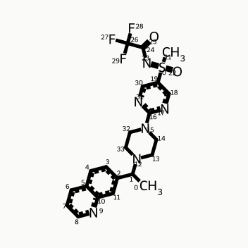 CC(c1ccc2cccnc2c1)N1CCN(c2ncc(S(C)(=O)=NC(=O)C(F)(F)F)cn2)CC1